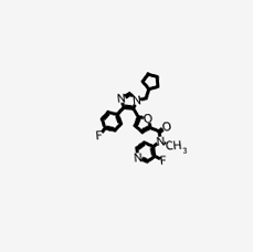 CN(C(=O)c1ccc(-c2c(-c3ccc(F)cc3)ncn2CC2CCCC2)o1)c1ccncc1F